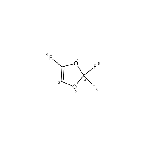 FC1=COC(F)(F)O1